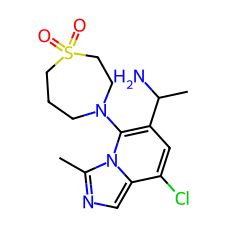 Cc1ncc2c(Cl)cc(C(C)N)c(N3CCCS(=O)(=O)CC3)n12